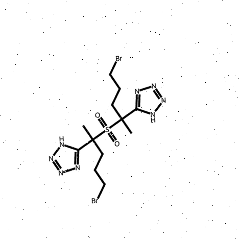 CC(CCCBr)(c1nnn[nH]1)S(=O)(=O)C(C)(CCCBr)c1nnn[nH]1